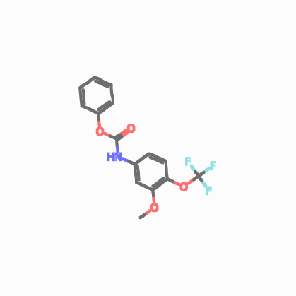 COc1cc(NC(=O)Oc2ccccc2)ccc1OC(F)(F)F